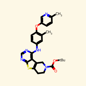 Cc1ccc(Oc2ccc(Nc3ncnc4sc5c(c34)CN(C(=O)OC(C)(C)C)CC5)cc2C)cn1